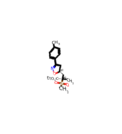 CCOC(=O)[C@@](C)(C[C@H]1CC(c2ccc(C)cc2)=NO1)S(C)(=O)=O